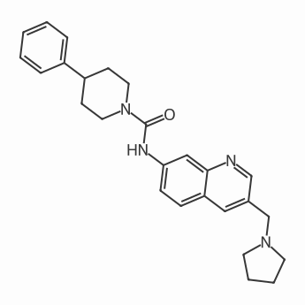 O=C(Nc1ccc2cc(CN3CCCC3)cnc2c1)N1CCC(c2ccccc2)CC1